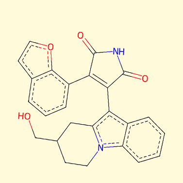 O=C1NC(=O)C(c2cccc3ccoc23)=C1c1c2n(c3ccccc13)CCC(CO)C2